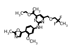 C=C(OCC)c1cc(COCC(C)(F)F)nc(Nc2ccc(-c3cnc(C)o3)c(OC)c2)n1